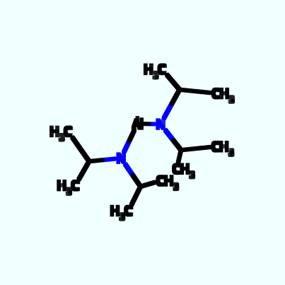 CC(C)[N]([Al][N](C(C)C)C(C)C)C(C)C